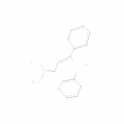 CN(C)C/C=C(/c1ccccc1)[S+]([O-])c1ccccc1